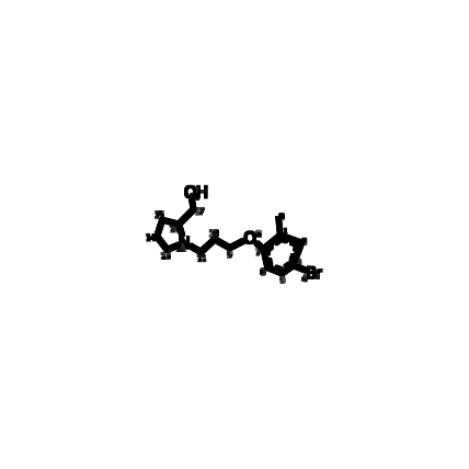 Cc1cc(Br)ccc1OCCCN1CCCC1CO